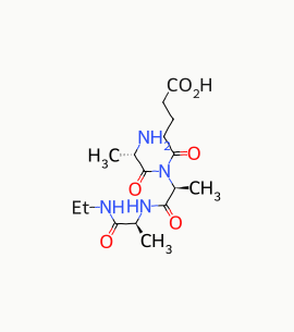 CCNC(=O)[C@H](C)NC(=O)[C@H](C)N(C(=O)CCCC(=O)O)C(=O)[C@H](C)N